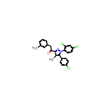 Cc1cccc(CC(=O)c2nn(-c3ccc(Cl)cc3Cl)c(-c3ccc(Cl)cc3)c2C)c1